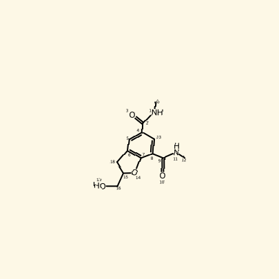 CNC(=O)c1cc2c(c(C(=O)NC)c1)OC(CO)C2